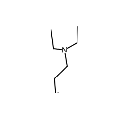 [CH2]CCN(CC)CC